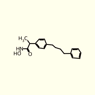 CC(C(=O)NO)c1ccc(CCCCc2ccccc2)cc1